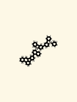 c1ccc(-n2c3ccccc3c3cc(-c4ccc5c(c4)c4ccccc4n5-c4ccc(-c5ccc6c(c5)-c5cc7ccccc7c7cccc-6c57)c5ccccc45)ccc32)cc1